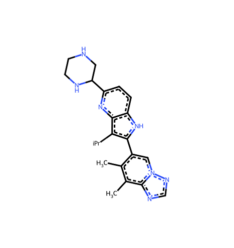 Cc1c(-c2[nH]c3ccc(C4CNCCN4)nc3c2C(C)C)cn2ncnc2c1C